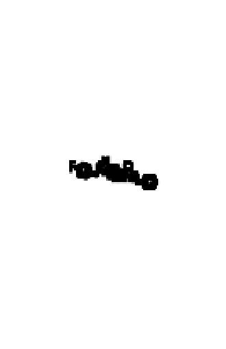 O=C(NOCc1ccccc1)c1cc2ncn(Cc3ccc(F)cc3)c2cn1